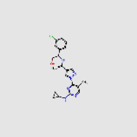 C=C(NC(CO)c1cccc(Cl)c1)c1cnn(-c2nc(NC3CC3)ncc2C)c1